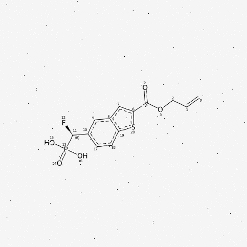 C=CCOC(=O)c1cc2cc([C@H](F)P(=O)(O)O)ccc2s1